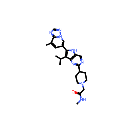 CNC(=O)CN1CCC(c2ncc3[nH]c(-c4cc(C)c5ncnn5c4)c(C(C)C)c3n2)CC1